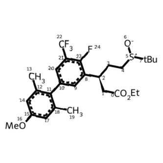 CCOC(=O)C[C@H](CC[S+]([O-])C(C)(C)C)c1cc(-c2c(C)cc(OC)cc2C)cc(C(F)(F)F)c1F